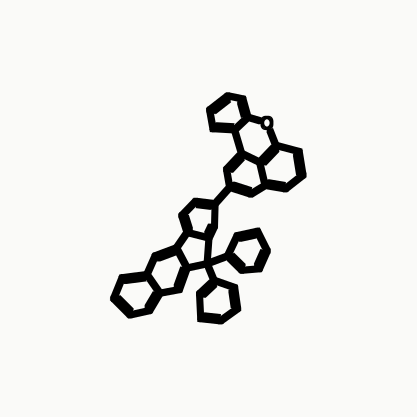 c1ccc(C2(c3ccccc3)c3cc(-c4cc5c6c(cccc6c4)Oc4ccccc4-5)ccc3-c3cc4ccccc4cc32)cc1